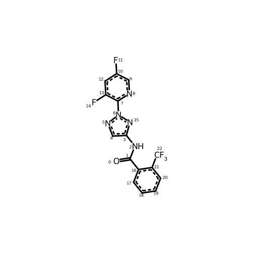 O=C(Nc1cnn(-c2ncc(F)cc2F)n1)c1ccccc1C(F)(F)F